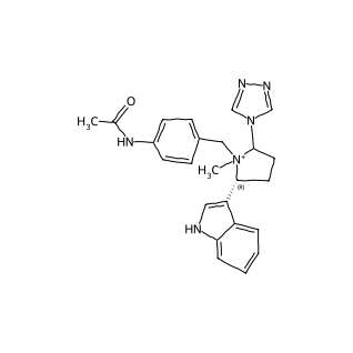 CC(=O)Nc1ccc(C[N+]2(C)C(n3cnnc3)CC[C@@H]2c2c[nH]c3ccccc23)cc1